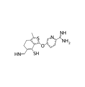 Cc1sc(Oc2ccc(C(=N)N)nc2)c2c1CCC(C=N)=C2S